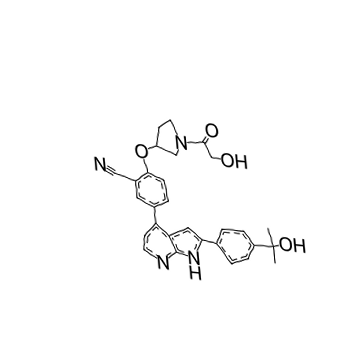 CC(C)(O)c1ccc(-c2cc3c(-c4ccc(OC5CCN(C(=O)CO)C5)c(C#N)c4)ccnc3[nH]2)cc1